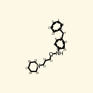 c1ccc(Cc2ccc(NOCCCN3CCCCC3)cc2)cc1